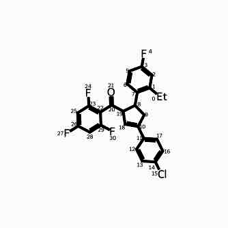 CCc1cc(F)ccc1C1CC(c2ccc(Cl)cc2)=CC1C(=O)c1c(F)cc(F)cc1F